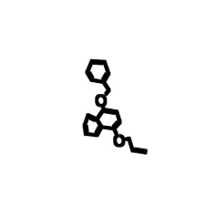 C=CCOc1ccc(OCc2ccccc2)c2ccccc12